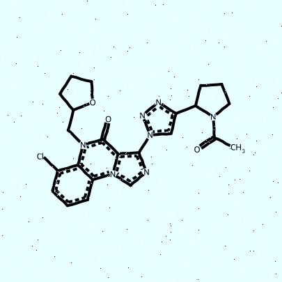 CC(=O)N1CCCC1c1cn(-c2ncn3c2c(=O)n(CC2CCCO2)c2c(Cl)cccc23)nn1